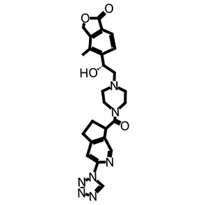 Cc1c([C@@H](O)CN2CCN(C(=O)C3CCc4cc(-n5cnnn5)ncc43)CC2)ccc2c1COC2=O